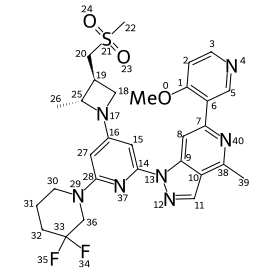 COc1ccncc1-c1cc2c(cnn2-c2cc(N3C[C@H](CS(C)(=O)=O)[C@H]3C)cc(N3CCCC(F)(F)C3)n2)c(C)n1